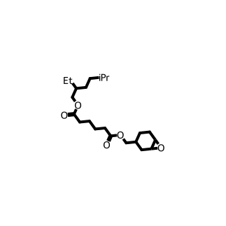 CCC(CCC(C)C)COC(=O)CCCCC(=O)OCC1CCC2OC2C1